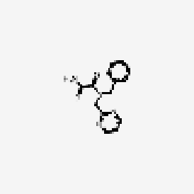 NC(=O)C(=O)N(Cc1ccccc1)Cc1ncccn1